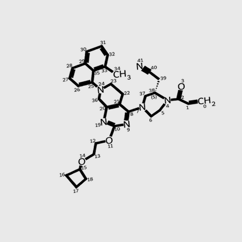 C=CC(=O)N1CCN(c2nc(OCCOC3CCC3)nc3c2CCN(c2cccc4cccc(C)c24)C3)C[C@@H]1CC#N